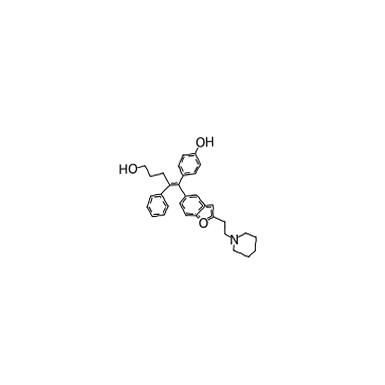 OCCC/C(=C(\c1ccc(O)cc1)c1ccc2oc(CCN3CCCCC3)cc2c1)c1ccccc1